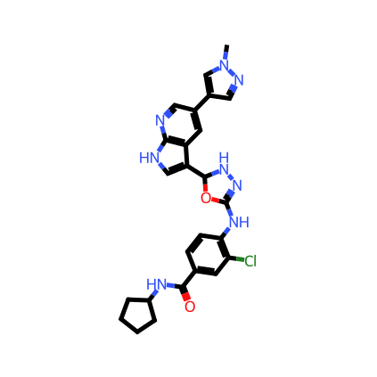 Cn1cc(-c2cnc3[nH]cc(C4NN=C(Nc5ccc(C(=O)NC6CCCC6)cc5Cl)O4)c3c2)cn1